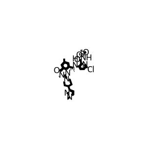 Cc1cc([C@@H](C)Nc2ccc(Cl)nc2C(=O)NS(C)(=O)=O)c2nc(N3CCC(c4ccn(C)n4)CC3)n(C)c(=O)c2c1